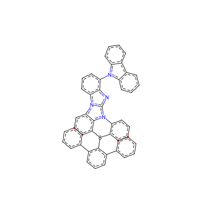 c1ccc(-c2cccc(-c3ccccc3)c2B2c3ccccc3-n3c4c2cccc4n2c4cccc(-n5c6ccccc6c6ccccc65)c4nc32)cc1